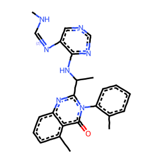 CN/C=N\c1cncnc1NC(C)c1nc2cccc(C)c2c(=O)n1-c1ccccc1C